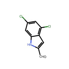 O=Cc1cc2c(Cl)cc(Cl)cc2[nH]1